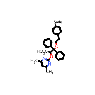 CSc1ccc(CCOC(c2ccccc2)(c2ccccc2)C(Oc2nc(C)cc(C)n2)C(=O)O)cc1